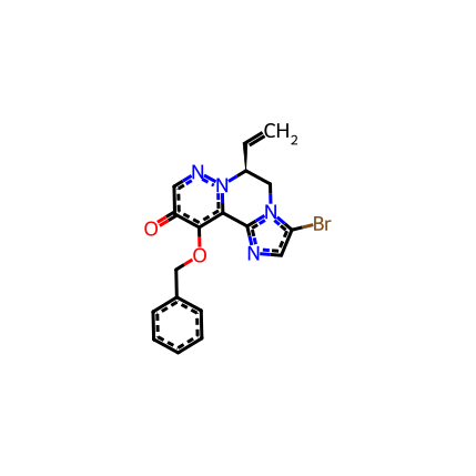 C=C[C@H]1Cn2c(Br)cnc2-c2c(OCc3ccccc3)c(=O)cnn21